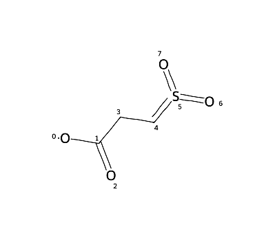 [O]C(=O)CC=S(=O)=O